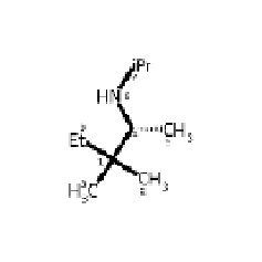 CCC(C)(C)[C@@H](C)NC(C)C